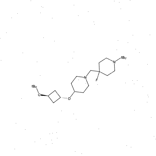 CC(C)(C)O[C@H]1C[C@H](OC2CCN(CC3(F)CCN(C(C)(C)C)CC3)CC2)C1